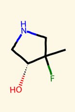 CC1(F)CNC[C@H]1O